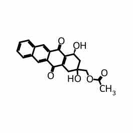 CC(=O)OCC1(O)CC2=C(C(=O)c3cc4ccccc4cc3C2=O)[C@@H](O)C1